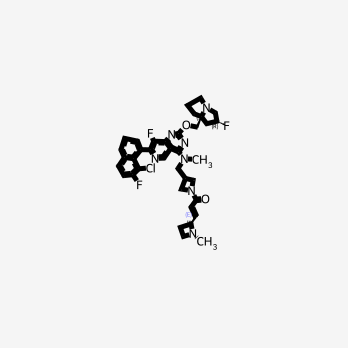 CN(CC1CN(C(=O)/C=C/[C@@H]2CCN2C)C1)c1nc(OC[C@@]23CCCN2C[C@H](F)C3)nc2c(F)c(-c3cccc4ccc(F)c(Cl)c34)ncc12